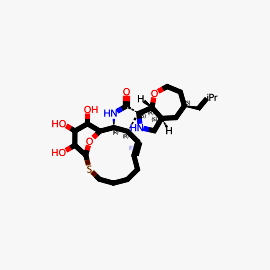 CC(C)C[C@@H]1CCO[C@@H]2[C@H](CN[C@@H]2C(=O)N[C@H]2C3OC(SCCCC/C=C/[C@H]2C)C(O)C(O)C3O)C1